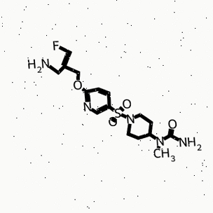 CN(C(N)=O)C1CCN(S(=O)(=O)c2ccc(OC/C(=C/F)CN)nc2)CC1